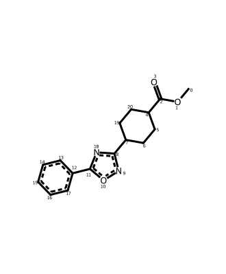 COC(=O)C1CCC(c2noc(-c3ccccc3)n2)CC1